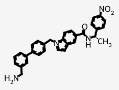 C[C@H](NC(=O)c1ccc2c(ccn2Cc2ccc(-c3cccc(CN)c3)cc2)c1)c1ccc([N+](=O)[O-])cc1